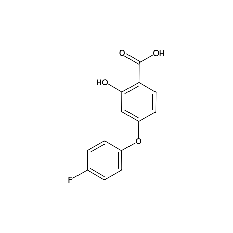 O=C(O)c1ccc(Oc2ccc(F)cc2)cc1O